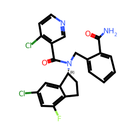 NC(=O)c1ccccc1CN(C(=O)c1cnccc1Cl)[C@@H]1CCc2c(F)cc(Cl)cc21